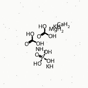 N.O=C(O)O.O=C(O)O.O=P(O)(O)O.[CaH2].[KH].[KH].[MgH2]